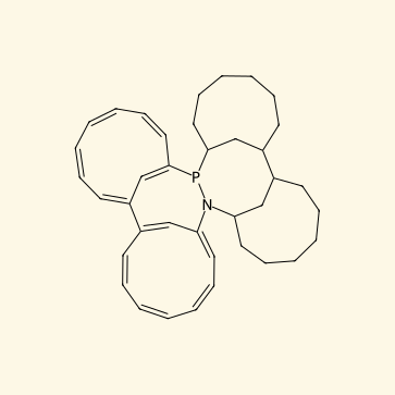 c1cccc2cc(ccc1)n1p(c3cccccccc2c3)C2CCCCCCC(C2)C2CCCCCCC1C2